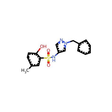 Cc1ccc(O)c(S(=O)(=O)Nc2cnn(Cc3ccccc3)c2)c1